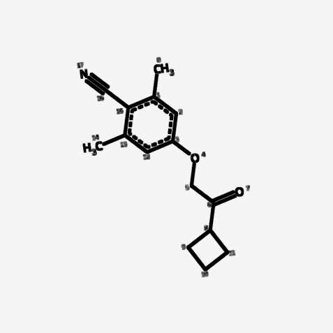 Cc1cc(OCC(=O)C2CCC2)cc(C)c1C#N